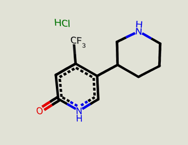 Cl.O=c1cc(C(F)(F)F)c(C2CCCNC2)c[nH]1